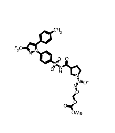 COC(=O)OCON=[N+]([O-])N1CCC(C(=O)NS(=O)(=O)c2ccc(-n3nc(C(F)(F)F)cc3-c3ccc(C)cc3)cc2)C1